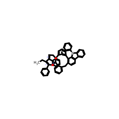 CCC1=C(c2ccccc2)/N=C2/c3ccccc3Cc3ccc4c5ccccc5n(-c5ccccc5)c4c3-c3cccc(c3N)C2C\C=C\1c1ccccc1